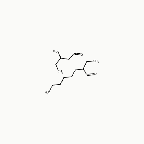 CCC(C)CC=O.CCCCCCC(C=O)CC